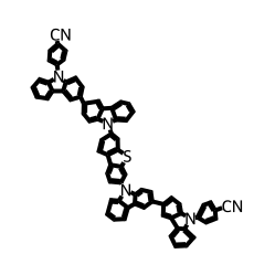 N#Cc1ccc(-n2c3ccccc3c3cc(-c4ccc5c(c4)c4ccccc4n5-c4ccc5c(c4)sc4cc(-n6c7ccccc7c7cc(-c8ccc9c(c8)c8ccccc8n9-c8ccc(C#N)cc8)ccc76)ccc45)ccc32)cc1